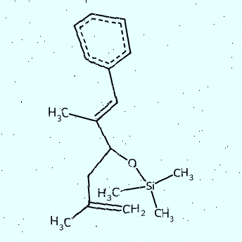 C=C(C)CC(O[Si](C)(C)C)/C(C)=C/c1ccccc1